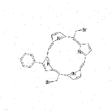 BrCC1=C2C=CC(=N2)C=C2C=CC(=N2)C(CBr)=C2C=C(c3ccccc3)C(=N2)C=C2C=CC1=N2